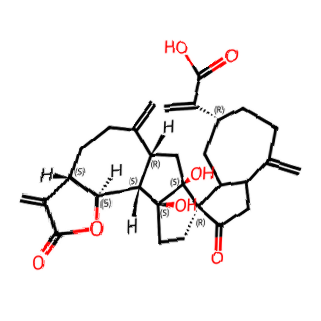 C=C1CC[C@@H](C(=C)C(=O)O)CC2C1CC(=O)[C@]21CC[C@]2(O)[C@@H]3[C@H]4OC(=O)C(=C)[C@@H]4CCC(=C)[C@@H]3C[C@]12O